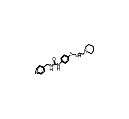 O=C(NCc1ccncc1)Nc1ccc(SNCCN2CCCCC2)cc1